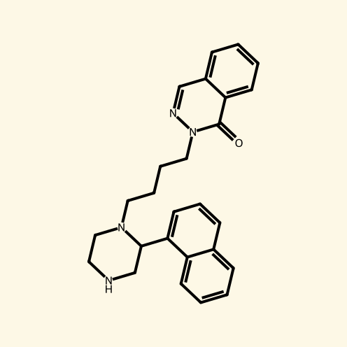 O=c1c2ccccc2cnn1CCCCN1CCNCC1c1cccc2ccccc12